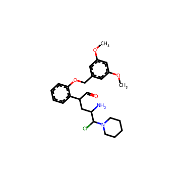 COc1cc(COc2ccccc2C(C=O)CC(N)C(Cl)N2CCCCC2)cc(OC)c1